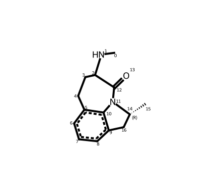 CNC1CCc2cccc3c2N(C1=O)[C@H](C)C3